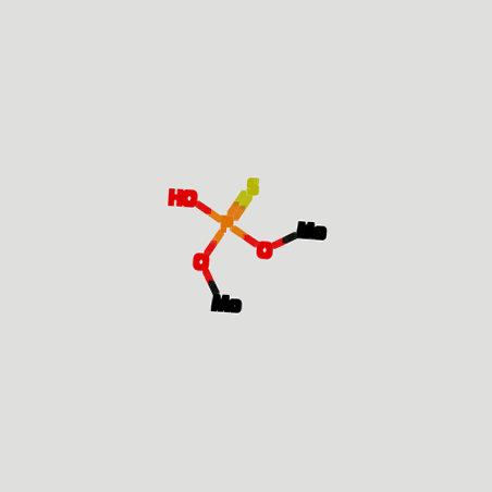 OP(=S)([O][Mo])[O][Mo]